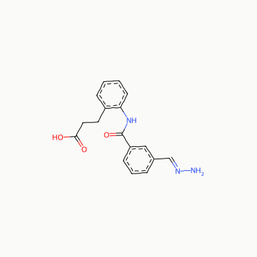 NN=Cc1cccc(C(=O)Nc2ccccc2CCC(=O)O)c1